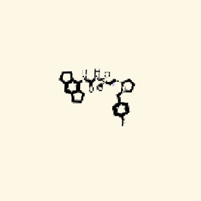 O=C(Nc1c2c(cc3c1CCC3)CCC2)NS(=O)(=O)/C=C/[C@@H]1CCCN1Cc1ccc(F)cc1